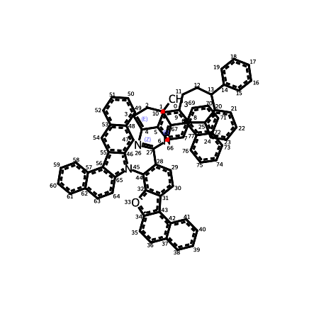 CC1C/C=C(c2ccc3c(c2)CCC(c2ccccc2)c2ccccc2-3)/N=C(c2ccc3c(oc4ccc5ccccc5c43)c2-n2c3cc4ccccc4cc3c3c4ccccc4ccc32)\N=C/1c1cccc2ccccc12